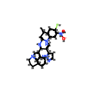 C\C=C(/C(=N\C(=C\CC)Nc1cc([N+](=O)[O-])c(F)cc1C)c1cn2c3c(cccc13)CCC2)c1ccn[nH]1